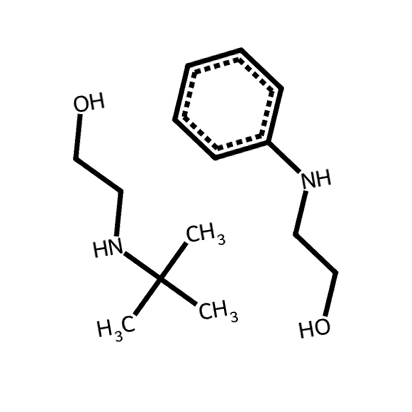 CC(C)(C)NCCO.OCCNc1ccccc1